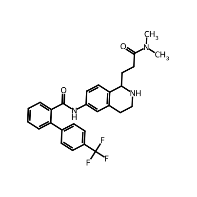 CN(C)C(=O)CCC1NCCc2cc(NC(=O)c3ccccc3-c3ccc(C(F)(F)F)cc3)ccc21